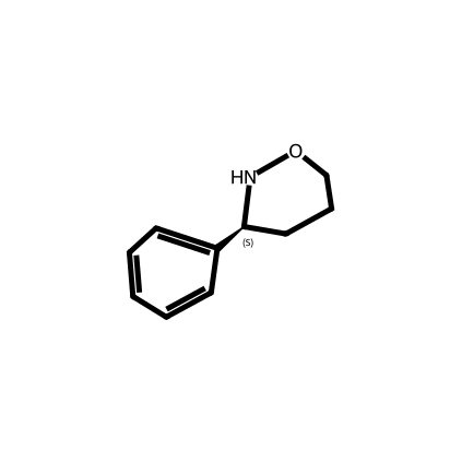 c1ccc([C@@H]2CCCON2)cc1